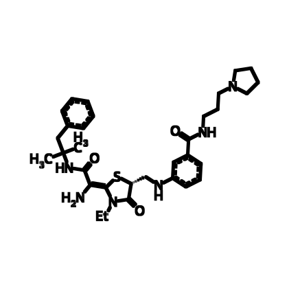 CCN1C(=O)[C@@H](CNc2cccc(C(=O)NCCCN3CCCC3)c2)S/C1=C(/N)C(=O)NC(C)(C)Cc1ccccc1